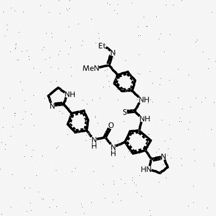 CC/N=C(\NC)c1ccc(NC(=S)Nc2cc(NC(=O)Nc3ccc(C4=NCCN4)cc3)cc(C3=NCCN3)c2)cc1